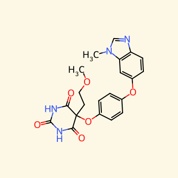 COCCC1(Oc2ccc(Oc3ccc4ncn(C)c4c3)cc2)C(=O)NC(=O)NC1=O